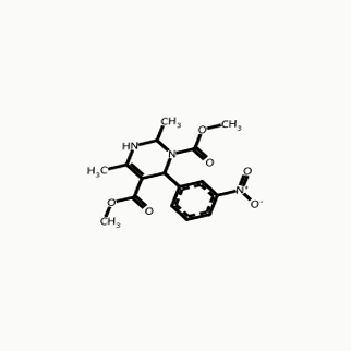 COC(=O)C1=C(C)NC(C)N(C(=O)OC)C1c1cccc([N+](=O)[O-])c1